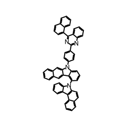 c1ccc2cc3c(cc2c1)c1c(-n2c4ccccc4c4c5ccccc5ccc42)cccc1n3-c1ccc(-c2nc(-c3cccc4ccccc34)c3ccccc3n2)cc1